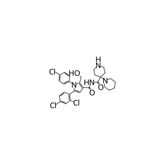 O=C(NC(=O)C1(N2CCCCC2)CCNCC1)c1cc(-c2ccc(Cl)cc2Cl)n(-c2ccc(Cl)cc2)c1CO